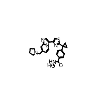 O=C(NO)c1ccc(C2(c3nc(-c4cnc5cc(CN6CCCC6)ccn45)cs3)CC2)cc1